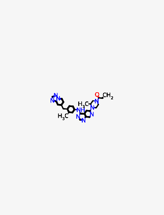 C=CC(=O)N1CCN(c2cc3c(Nc4ccc(Cc5ccn6ncnc6c5)c(C)c4)ncnc3cn2)C(C)C1